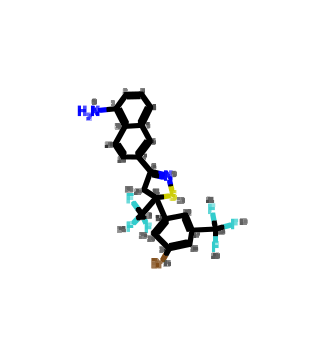 Nc1cccc2cc(C3=NSC(c4cc(Br)cc(C(F)(F)F)c4)(C(F)(F)F)C3)ccc12